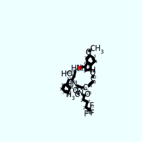 COc1ccc2c(c1)[C@@H]1C[C@H]2OCC=CC[C@H](N(C)C(=O)CCCC(F)(F)F)C(=O)N[C@@H](Cc2ccccc2)[C@H](O)CN1